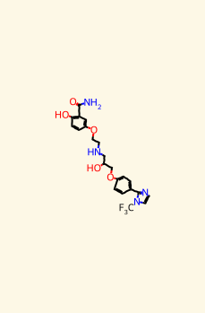 NC(=O)c1cc(OCCNCC(O)COc2ccc(-c3nccn3C(F)(F)F)cc2)ccc1O